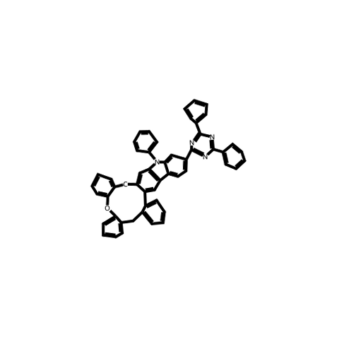 c1ccc(-c2nc(-c3ccccc3)nc(-c3ccc4c5cc6c(cc5n(-c5ccccc5)c4c3)Cc3ccccc3Oc3ccccc3Cc3ccccc3-6)n2)cc1